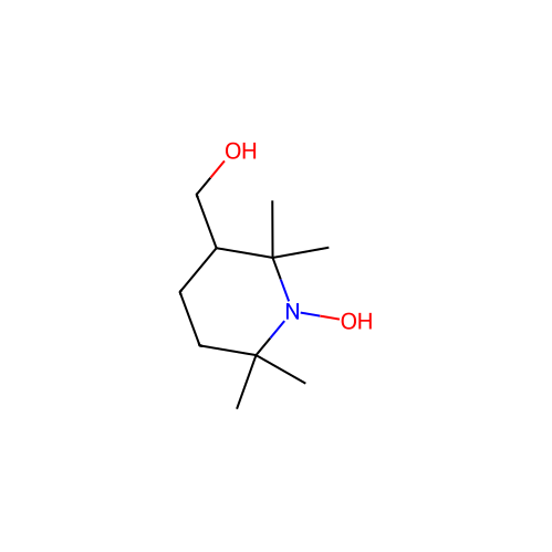 CC1(C)CCC(CO)C(C)(C)N1O